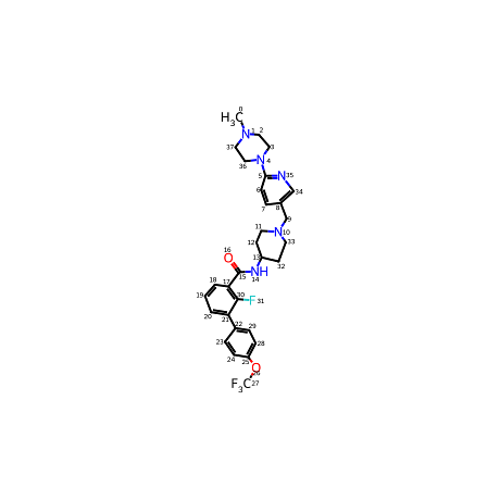 CN1CCN(c2ccc(CN3CCC(NC(=O)c4cccc(-c5ccc(OC(F)(F)F)cc5)c4F)CC3)cn2)CC1